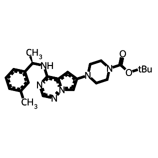 Cc1cccc([C@@H](C)Nc2ncnn3cc(N4CCN(C(=O)OC(C)(C)C)CC4)cc23)c1